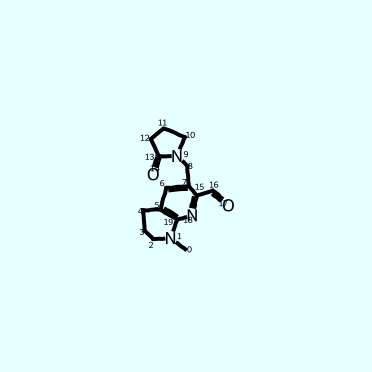 CN1CCCc2cc(CN3CCCC3=O)c(C=O)nc21